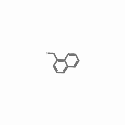 FCc1cccc2ccc[c]c12